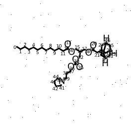 CCCCCCCCCCCCC(=O)OCC(COC(=O)CC12C[C@H]3C[C@@H](C1)C[C@@H](C2)C3)COC(=O)OCCCN1CCCC1